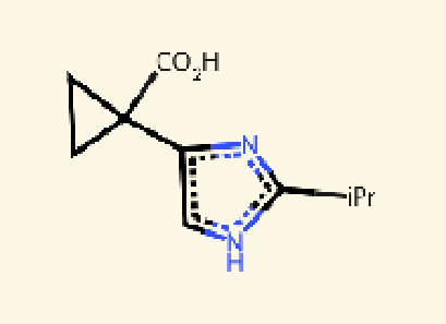 CC(C)c1nc(C2(C(=O)O)CC2)c[nH]1